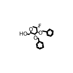 OC[C@H]1OC[C@H](F)[C@@H](OCc2ccccc2)[C@@H]1OCc1ccccc1